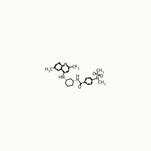 Cc1ccc2nc(C(F)(F)F)cc(N[C@H]3CCC[C@@H](NC(=O)c4ccc(N(C)S(C)(=O)=O)cc4)C3)c2c1